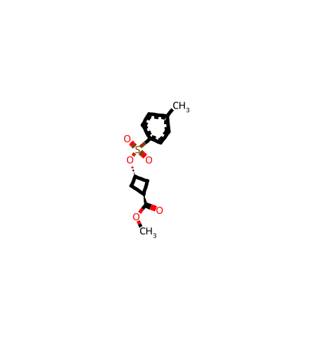 COC(=O)[C@H]1C[C@H](OS(=O)(=O)c2ccc(C)cc2)C1